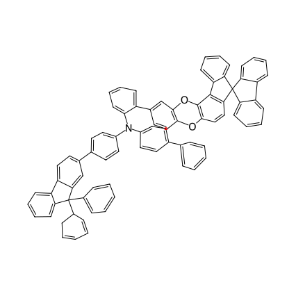 C1=CCC(C2(c3ccccc3)c3ccccc3-c3ccc(-c4ccc(N(c5ccc(-c6ccccc6)cc5)c5ccccc5-c5ccc6c(c5)Oc5c(ccc7c5-c5ccccc5C75c7ccccc7-c7ccccc75)O6)cc4)cc32)C=C1